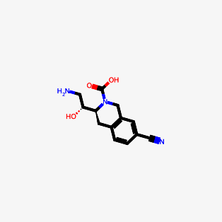 N#Cc1ccc2c(c1)CN(C(=O)O)[C@H]([C@H](O)CN)C2